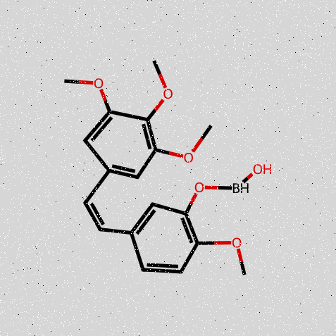 COc1ccc(/C=C\c2cc(OC)c(OC)c(OC)c2)cc1OBO